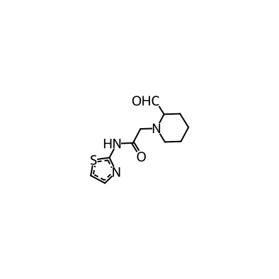 O=CC1CCCCN1CC(=O)Nc1nccs1